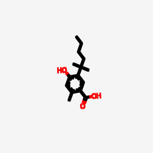 CCCCC(C)(C)c1cc(C(=O)O)c(C)cc1O